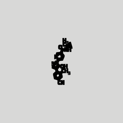 Cc1cc(C#N)ccc1-c1cnn(-c2ccc(C(=O)NC3(C)CC3)cn2)c1O